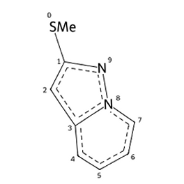 CSc1cc2ccccn2n1